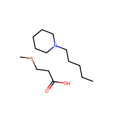 CCCCCN1CCCCC1.CSCCC(=O)O